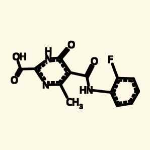 Cc1nc(C(=O)O)[nH]c(=O)c1C(=O)Nc1ccccc1F